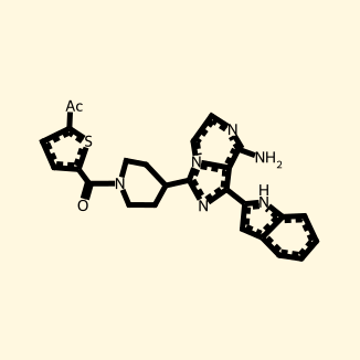 CC(=O)c1ccc(C(=O)N2CCC(c3nc(-c4cc5ccccc5[nH]4)c4c(N)nccn34)CC2)s1